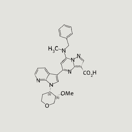 CO[C@@H]1COCC[C@@H]1n1cc(-c2cc(N(C)Cc3ccccc3)n3ncc(C(=O)O)c3n2)c2cccnc21